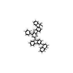 CC1(C)c2ccccc2-c2c1ccc1c2oc2c(-c3ccccc3)nc(-n3c4ccccc4c4cc(-c5cccc6ccccc56)ccc43)nc21